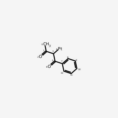 CC(=O)[CH]([Pt])C(=O)c1ccccc1